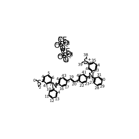 C[S+](C)c1cccc(N(c2ccccc2)c2ccc(/C=C/c3ccc(N(c4ccccc4)c4cccc([S+](C)C)c4)cc3)cc2)c1.O=S(=O)([O-])C(F)(F)F.O=S(=O)([O-])C(F)(F)F